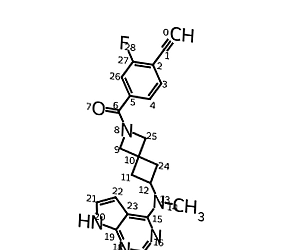 C#Cc1ccc(C(=O)N2CC3(CC(N(C)c4ncnc5[nH]ccc45)C3)C2)cc1F